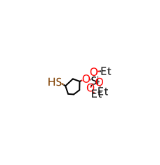 CCO[Si](OCC)(OCC)OC1CCCC(S)C1